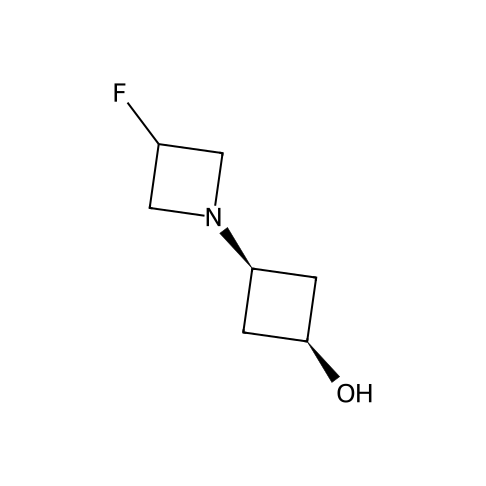 O[C@H]1C[C@@H](N2CC(F)C2)C1